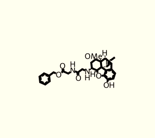 CO[C@@]12CC[C@H](NCC(=O)NCC(=O)OCc3ccccc3)[C@@H]3Oc4c(O)ccc5c4[C@@]31CCN(C)[C@@H]2C5